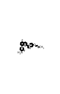 COCCOc1ccn2c(-c3ccc4c(F)ccc(N5CC[C@H](N)[C@H](F)C5)c4n3)cnc2c1